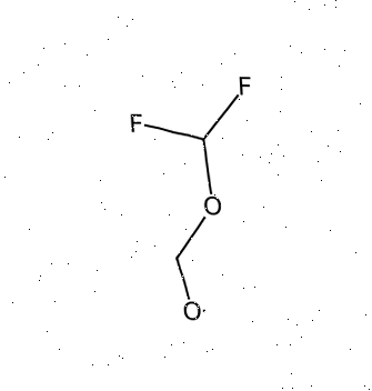 [O]COC(F)F